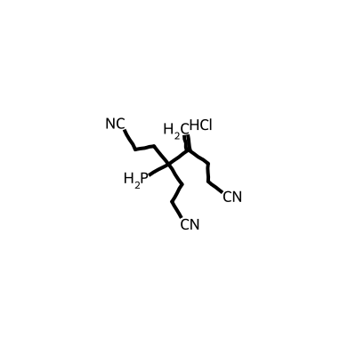 C=C(CCC#N)C(P)(CCC#N)CCC#N.Cl